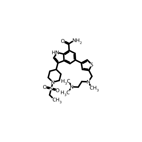 CCS(=O)(=O)N1CCC(c2c[nH]c3c(C(N)=O)cc(-c4csc(CN(C)CCN(C)C)c4)cc23)CC1